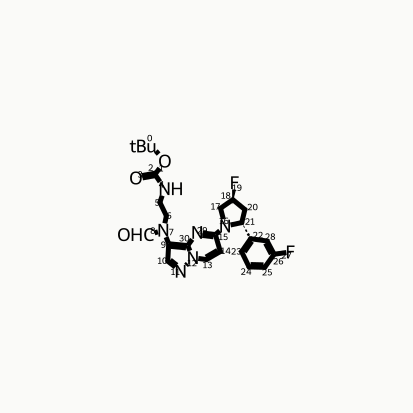 CC(C)(C)OC(=O)NCCN(C=O)c1cnn2ccc(N3C[C@@H](F)C[C@@H]3c3cccc(F)c3)nc12